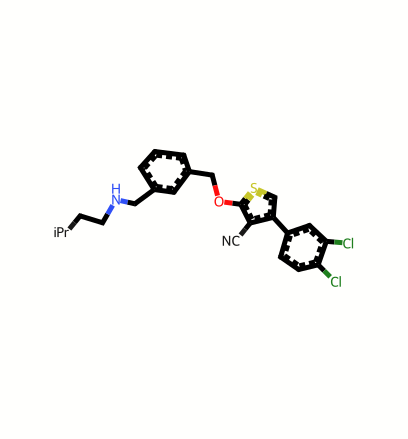 CC(C)CCNCc1cccc(COc2scc(-c3ccc(Cl)c(Cl)c3)c2C#N)c1